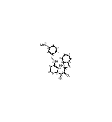 CCN(C(=O)c1nc2ccccc2[nH]1)[C@@H]1C=C(NCc2cccc(OC)c2)CCC1